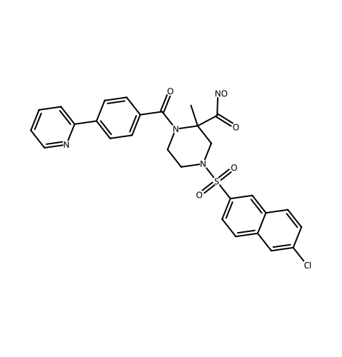 CC1(C(=O)N=O)CN(S(=O)(=O)c2ccc3cc(Cl)ccc3c2)CCN1C(=O)c1ccc(-c2ccccn2)cc1